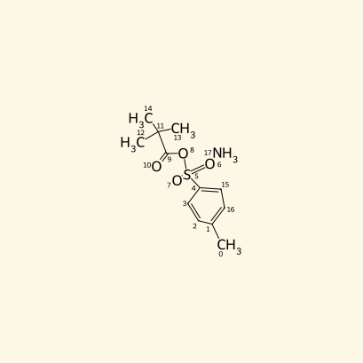 Cc1ccc(S(=O)(=O)OC(=O)C(C)(C)C)cc1.N